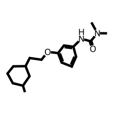 CC1CCCC(CCOc2cccc(NC(=O)N(C)C)c2)C1